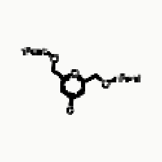 CCCCCOCc1cc(=O)cc(COCCCCC)o1